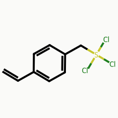 C=Cc1ccc(CS(Cl)(Cl)Cl)cc1